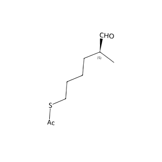 CC(=O)SCCCC[C@H](C)C=O